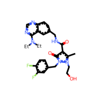 CCN(CC)c1ncnc2ccc(CNC(=O)c3c(C)n(CCO)n(Cc4ccc(F)c(F)c4)c3=O)cc12